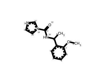 COc1ccccc1C(C)NC(=O)n1ccnc1